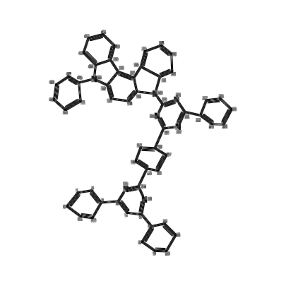 c1ccc(-c2cc(-c3ccccc3)nc(-c3ccc(-c4nc(-c5ccccc5)nc(-n5c6ccccc6c6c7c8ccccc8n(-c8ccccc8)c7ccc65)n4)cc3)n2)cc1